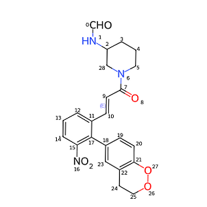 O=CNC1CCCN(C(=O)/C=C/c2cc[c]c([N+](=O)[O-])c2-c2ccc3c(c2)CCOO3)C1